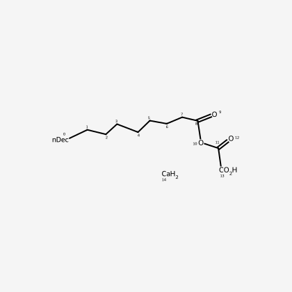 CCCCCCCCCCCCCCCCCC(=O)OC(=O)C(=O)O.[CaH2]